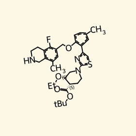 CCO[C@@H]1CN(c2nc(-c3cc(C)ccc3OCc3cc(C)c4c(c3F)CCNC4)cs2)CC[C@@H]1C(=O)OC(C)(C)C